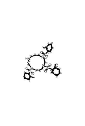 Cc1ccccc1S(=O)(=O)N1CCCN(S(=O)(=O)c2ccccc2C)CCN(S(=O)(=O)c2ccccc2C)CCCNCC1